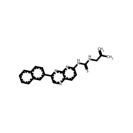 C=C(C)CNC(=S)Nc1ccc2ncc(-c3ccc4ccccc4c3)nc2n1